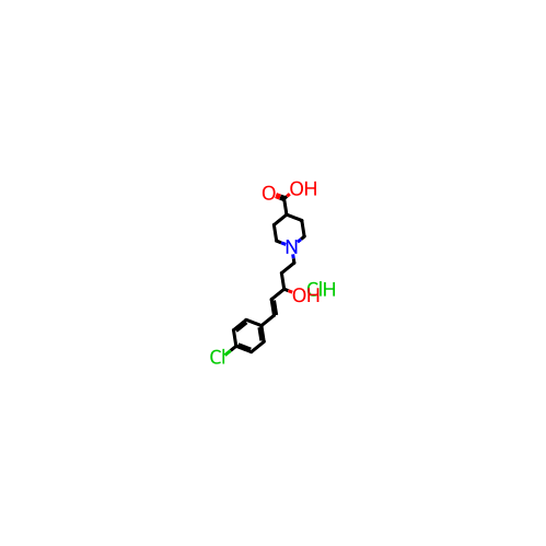 Cl.O=C(O)C1CCN(CCC(O)C=Cc2ccc(Cl)cc2)CC1